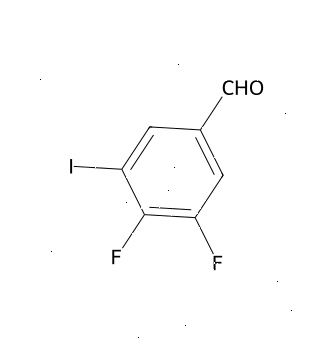 O=Cc1cc(F)c(F)c(I)c1